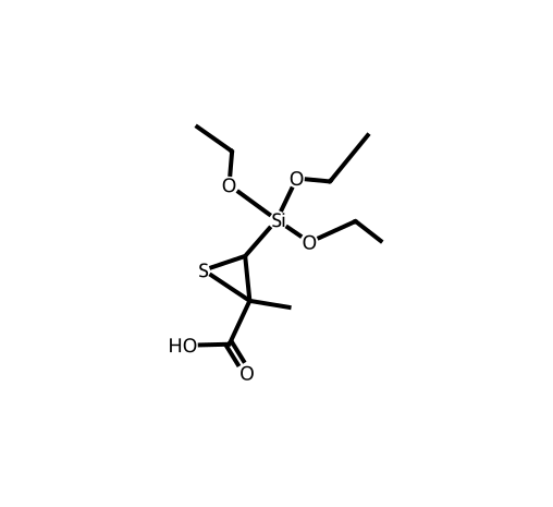 CCO[Si](OCC)(OCC)C1SC1(C)C(=O)O